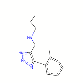 CCCNCc1[nH]nnc1-c1ccccc1C